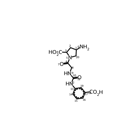 NC1CC(C(=O)O)N(C(=O)CNC(=O)Nc2cccc(C(=O)O)c2)C1